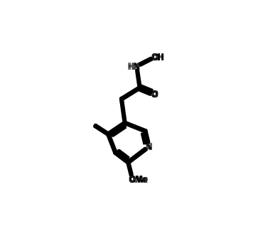 COc1cc(C)c(CC(=O)NO)cn1